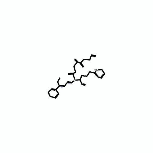 C=CCCC(=C)C(=C)CCC(=C)N(/C=C/C=C(\CC)C1=CCCC=C1)C(C=C)CCCC1=CC=CCN1